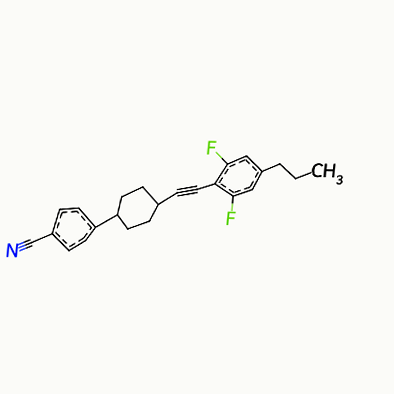 CCCc1cc(F)c(C#CC2CCC(c3ccc(C#N)cc3)CC2)c(F)c1